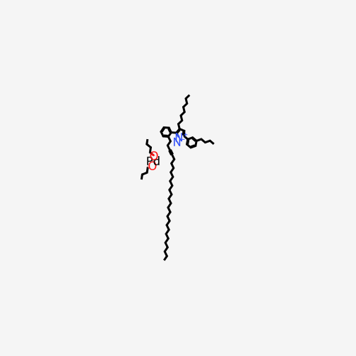 CCCCCCCCCCCCCCCCCCCCCCCCC#CCCc1ccccc1C1=C(CCCCCCCC)C=C(c2cccc(CCCC)c2)[N+]1=[N-].CCCC[O][Pd][O]CCCC